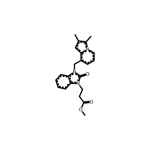 COC(=O)CCn1c(=O)n(Cc2cccn3c(C)c(C)cc23)c2ccccc21